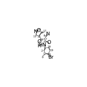 Cc1cc(NC(=O)C(C#N)C(O)c2cnoc2C)ccc1Br